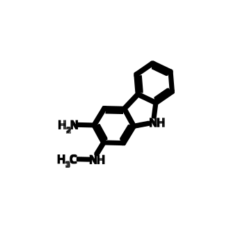 CNc1cc2[nH]c3ccccc3c2cc1N